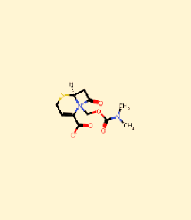 CN(C)C(=O)OC[N+]12C(=O)C[C@@H]1SCC=C2C(=O)[O-]